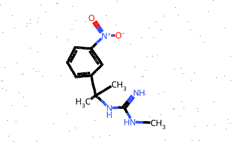 CNC(=N)NC(C)(C)c1cccc([N+](=O)[O-])c1